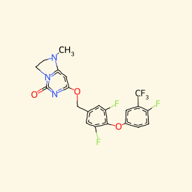 CN1CCn2c1cc(OCc1cc(F)c(Oc3ccc(F)c(C(F)(F)F)c3)c(F)c1)nc2=O